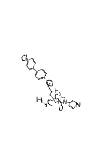 CC(C)(CCCOc1ccc(-c2ccc(Cl)cc2)cc1)CN1CCN(c2ccncc2)C1=O